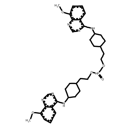 COc1cccc2c(NC3CCC(CCO[PH](=O)OCCC4CCC(Nc5ncnc6c(OC)cccc56)CC4)CC3)ncnc12